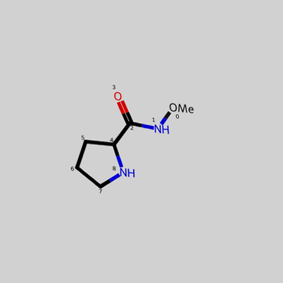 CONC(=O)C1CCCN1